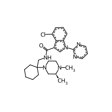 C[C@H]1CN(C2(CNC(=O)c3cn(-c4ncccn4)c4cccc(Cl)c34)CCCCC2)CCN1C